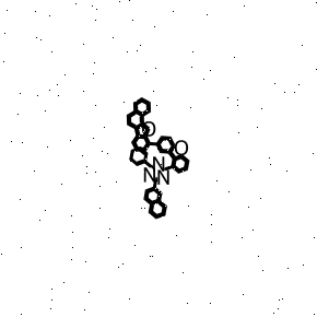 C1=CC(c2nc(-c3ccc4ccccc4c3)nc(-c3cccc4oc5ccc(-c6cccc7c6oc6c8ccccc8ccc76)cc5c34)n2)=CCC1